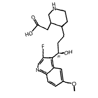 COc1ccc2ncc(F)c([C@H](O)CCC3CCNCC3CC(=O)O)c2c1